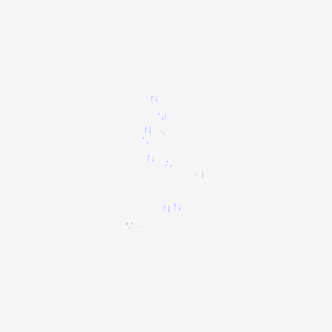 COCCCC1(Cn2ncc(-c3sc(N(C)c4cc(C)c(Nc5nc6ccccc6s5)nn4)nc3C(=O)O)c2C)CCCCCCC1